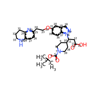 CC(C)(C)OC(=O)N1CCC(C(CC(=O)O)n2ncc3cc(OCCc4ccc5c(n4)CCCN5)ccc32)CC1